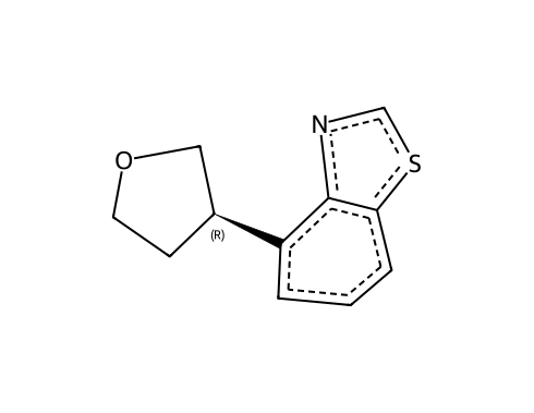 c1cc([C@H]2CCOC2)c2ncsc2c1